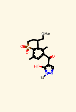 CCn1ncc(C(=O)c2cc(C)c3c(c2C)C(COC)CCS3(=O)=O)c1O